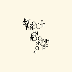 Cc1nonc1C(=O)N[C@H](c1cn2ncc([C@@H](COC3CC3)N3CC(F)(F)CNC3=O)cc2n1)C1CCC(F)(F)CC1